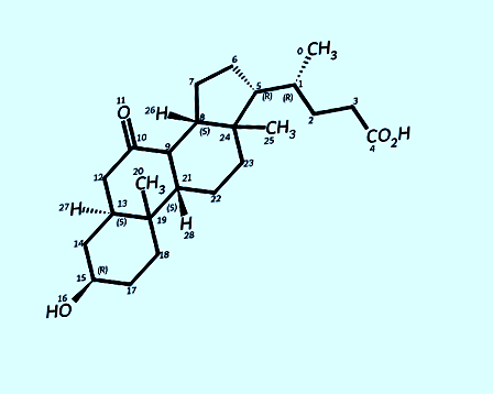 C[C@H](CCC(=O)O)[C@H]1CC[C@H]2C3C(=O)C[C@@H]4C[C@H](O)CCC4(C)[C@H]3CCC12C